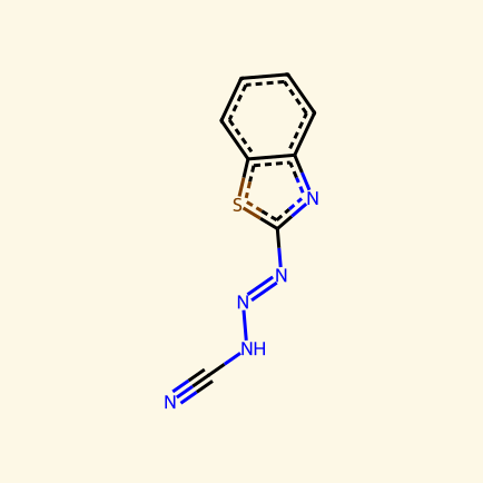 N#CNN=Nc1nc2ccccc2s1